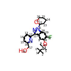 CC(C)(C)[Si](C)(C)Oc1cc2c(-c3cccc(CO)n3)nn(C3CCCCO3)c2cc1F